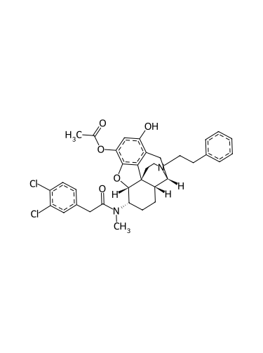 CC(=O)Oc1cc(O)c2c3c1O[C@H]1[C@@H](N(C)C(=O)Cc4ccc(Cl)c(Cl)c4)CC[C@H]4[C@@H](C2)N(CCc2ccccc2)CC[C@@]341